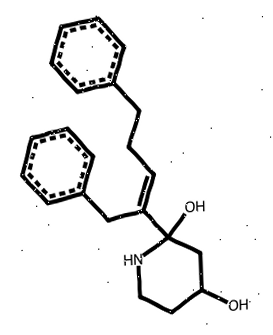 OC1CCNC(O)(/C(=C/CCc2ccccc2)Cc2ccccc2)C1